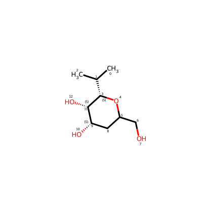 CC(C)[C@@H]1OC(CO)C[C@H](O)[C@@H]1O